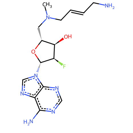 CN(C/C=C/CN)C[C@H]1O[C@@H](n2cnc3c(N)ncnc32)[C@H](F)[C@@H]1O